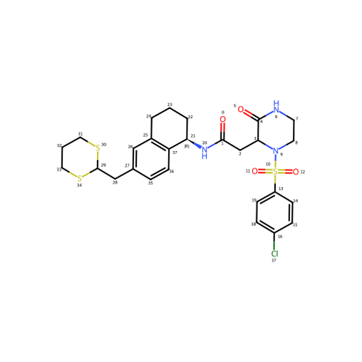 O=C(CC1C(=O)NCCN1S(=O)(=O)c1ccc(Cl)cc1)N[C@@H]1CCCc2cc(CC3SCCCS3)ccc21